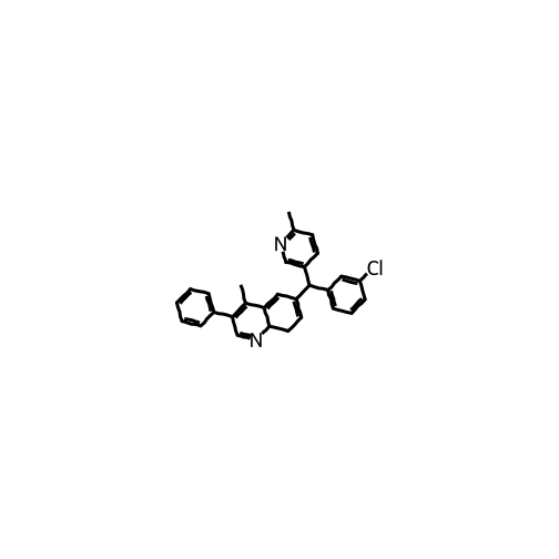 CC1=C(c2ccccc2)C=NC2CC=C(C(c3ccc(C)nc3)c3cccc(Cl)c3)C=C12